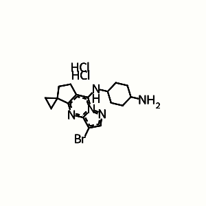 Cl.Cl.NC1CCC(Nc2c3c(nc4c(Br)cnn24)C2(CC3)CC2)CC1